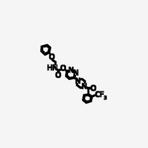 O=C(NCCOc1ccccc1)Oc1ccc(N2CCN(C(=O)c3ccccc3C(F)(F)F)CC2)nn1